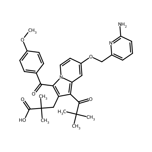 COc1ccc(C(=O)c2c(CC(C)(C)C(=O)O)c(C(=O)C(C)(C)C)c3cc(OCc4cccc(N)n4)ccn23)cc1